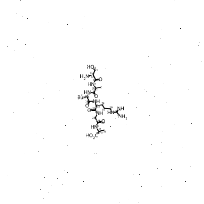 CC[C@H](C)[C@H](NC(=O)[C@H](C)NC(=O)[C@@H](N)CO)C(=O)N[C@@H](CCCNC(=N)N)C(=O)NCC(=O)N[C@@H](C)C(=O)O